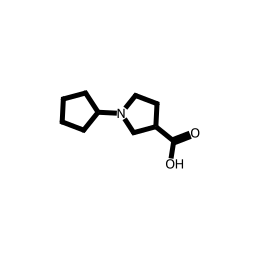 O=C(O)C1CCN(C2CCCC2)C1